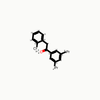 CC(C)c1[c]c(C(C)C)cc(C(=O)Cc2ccccc2C(F)(F)F)c1